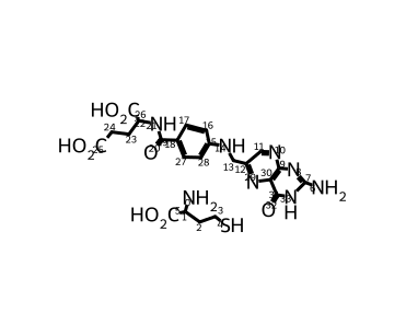 NC(CCS)C(=O)O.Nc1nc2ncc(CNc3ccc(C(=O)NC(CCC(=O)O)C(=O)O)cc3)nc2c(=O)[nH]1